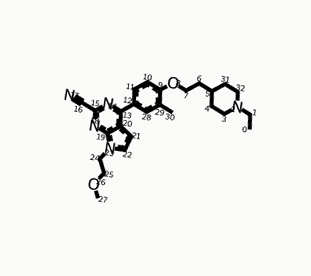 CCN1CCC(CCOc2ccc(-c3nc(C#N)nc4c3ccn4CCOC)cc2C)CC1